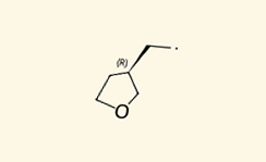 [CH2]C[C@@H]1CCOC1